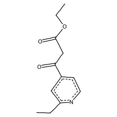 CCOC(=O)CC(=O)c1ccnc(CC)c1